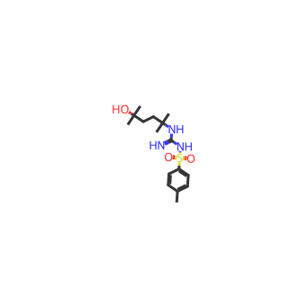 Cc1ccc(S(=O)(=O)NC(=N)NC(C)(C)CCC(C)(C)O)cc1